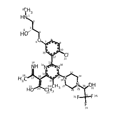 CNC[C@@H](O)COc1ccc(Cl)c(-c2nc(/C(C(C)=N)=C(\C)O)c(C)c(N3CCN(C(O)C(F)(F)F)CC3)n2)c1